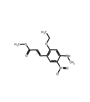 CCOc1cc(NC)c([N+](=O)[O-])cc1/C=C/C(=O)OC